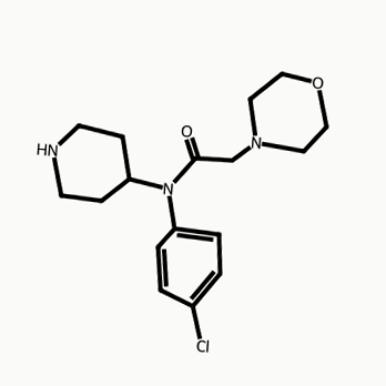 O=C(CN1CCOCC1)N(c1ccc(Cl)cc1)C1CCNCC1